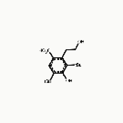 CC(C)(C)c1cc(C(=O)O)c(CCO)c(C(C)(C)C)c1O